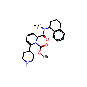 CN(C(=O)C1C=CC=C(C2CCNCC2)N1C(=O)OC(C)(C)C)C1CCCc2ccccc21